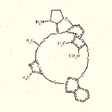 CN1CC/C(=C2/CCCN2N)c2c(Cl)ccc3c(c(C(=O)O)n(C)c23)CCCOc2cc(cc3ccccc23)SCc2cc(nn2C)C1